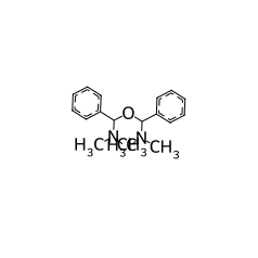 CN(C)C(OC(c1ccccc1)N(C)C)c1ccccc1